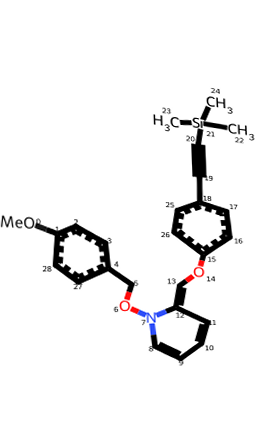 COc1ccc(CON2C=CC=CC2=COc2ccc(C#C[Si](C)(C)C)cc2)cc1